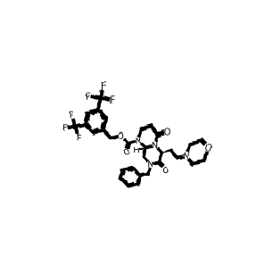 O=C1[C@H](CCN2CCOCC2)N2C(=O)CCN(C(=O)OCc3cc(C(F)(F)F)cc(C(F)(F)F)c3)[C@H]2CN1Cc1ccccc1